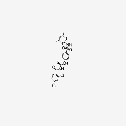 Cc1cc(C)nc(NS(=O)(=O)c2ccc(NC(=S)NC(=O)c3ccc(Cl)cc3Cl)cc2)n1